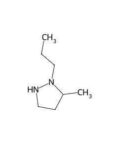 CCCN1NCCC1C